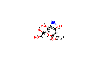 N[C@H]1[C@@H](O)[C@@H]([C@H](O)CO)O[C@@](O)(C(=O)O)C[C@@H]1O